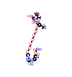 CNC(=O)COc1cc2cc(Nc3nc(N4CCC(OCCOCCOCCOCCOCCOCCOc5cc(-c6scnc6C)ccc5CNC(=O)[C@@H]5C[C@@H](O)CN5C(=O)C(c5cc(C)no5)C(C)C)CC4)ncc3Cl)ccc2n(C)c1=O